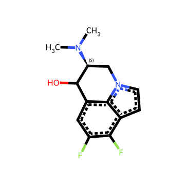 CN(C)[C@H]1Cn2ccc3c(F)c(F)cc(c32)C1O